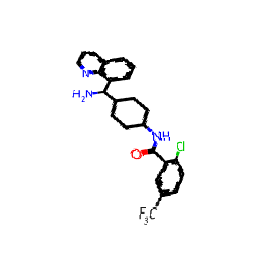 NC(c1cccc2cccnc12)C1CCC(NC(=O)c2cc(C(F)(F)F)ccc2Cl)CC1